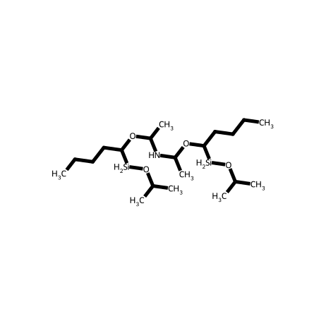 CCCCC(OC(C)NC(C)OC(CCCC)[SiH2]OC(C)C)[SiH2]OC(C)C